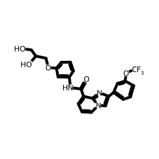 O=C(Nc1cccc(OCC(O)CO)c1)c1cccn2cc(-c3cccc(OC(F)(F)F)c3)nc12